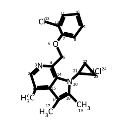 Cc1cnc(COc2ccccc2Cl)c2c1c(C)c(C)n2C1CC1.Cl